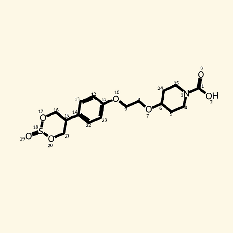 O=C(O)N1CCC(OCCOc2ccc(C3COS(=O)OC3)cc2)CC1